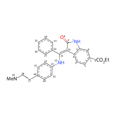 CCOC(=O)c1ccc2c(c1)NC(=O)/C2=C(/Nc1ccc(CCNC)cc1)c1ccccc1